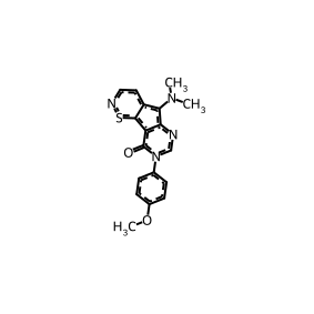 COc1ccc(-n2cnc3c(N(C)C)c4ccnsc-4c3c2=O)cc1